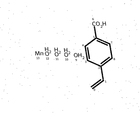 C=Cc1ccc(C(=O)O)cc1.O.O.O.O.[Mn]